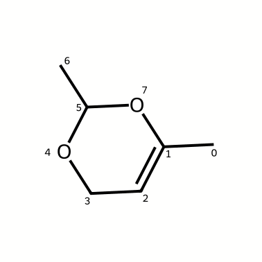 CC1=CCOC(C)O1